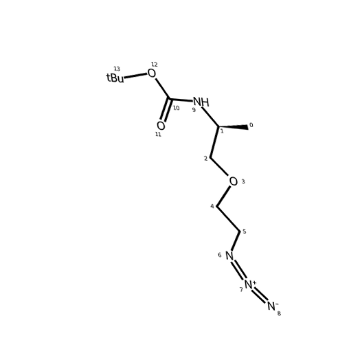 C[C@@H](COCCN=[N+]=[N-])NC(=O)OC(C)(C)C